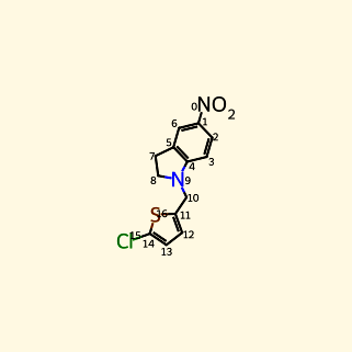 O=[N+]([O-])c1ccc2c(c1)CCN2Cc1ccc(Cl)s1